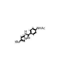 CC(=O)Nc1ccc(-c2nn3nc(C(C)(C)C)cc3[nH]2)cc1